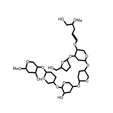 COC(CO)C/C=C/OC1COC(OC2CCC(OC3COC(OC4CCC(OC5COC(OC)CC5O)OC4)C(O)C3)OC2)CC1OC1CCC(CO)O1